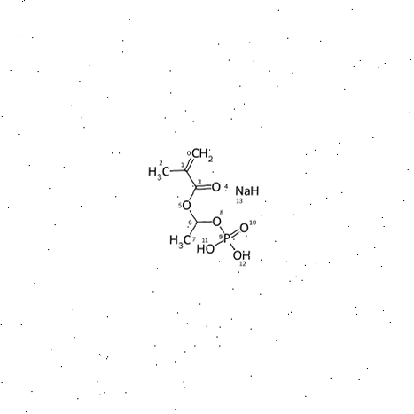 C=C(C)C(=O)OC(C)OP(=O)(O)O.[NaH]